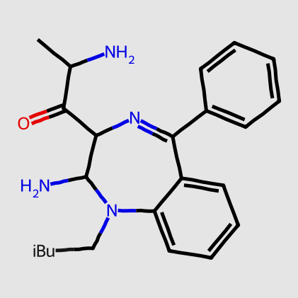 CCC(C)CN1c2ccccc2C(c2ccccc2)=NC(C(=O)C(C)N)C1N